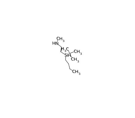 CCCC[SiH](C=CNC)C(C)(C)C